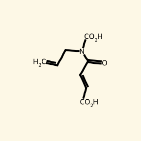 C=CCN(C(=O)O)C(=O)C=CC(=O)O